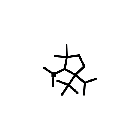 CC(C)C1(C(C)(C)C)CCC(C)(C)C1N(C)C